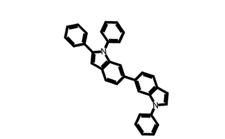 c1ccc(-c2cc3ccc(-c4ccc5ccn(-c6ccccc6)c5c4)cc3n2-c2ccccc2)cc1